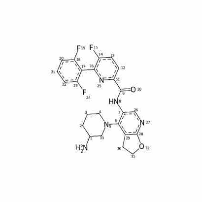 NC1CCCN(c2c(NC(=O)c3ccc(F)c(-c4c(F)cccc4F)n3)cnc3c2CCO3)C1